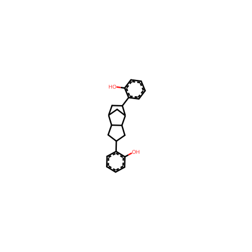 Oc1ccccc1C1CC2C3CC(c4ccccc4O)C(C3)C2C1